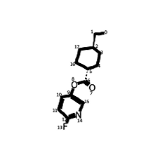 CC[C@H]1CC[C@H](C(=O)Oc2ccc(F)nc2)CC1